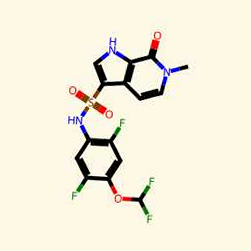 Cn1ccc2c(S(=O)(=O)Nc3cc(F)c(OC(F)F)cc3F)c[nH]c2c1=O